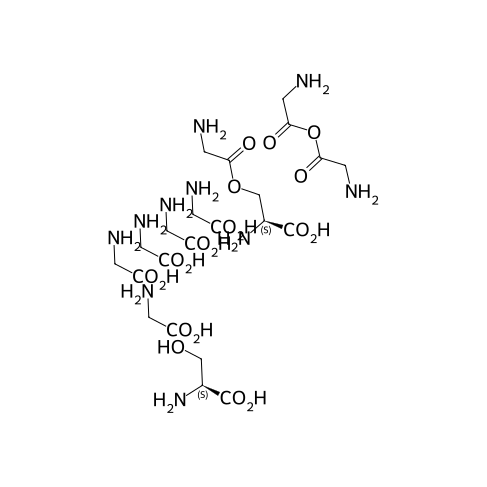 NCC(=O)O.NCC(=O)O.NCC(=O)O.NCC(=O)O.NCC(=O)O.NCC(=O)OC(=O)CN.NCC(=O)OC[C@H](N)C(=O)O.N[C@@H](CO)C(=O)O